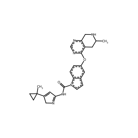 CC1Cc2c(ncnc2Oc2ccc3c(ccn3C(=O)NC3=NCC(C4(C)CC4)=C3)c2)CN1